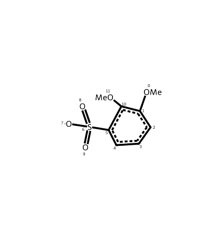 COc1cccc(S([O])(=O)=O)c1OC